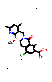 CCCCOc1nc(C)cc(C)c1CN1CCc2c(Cl)cc(C(O)CC)c(Cl)c2C1=O